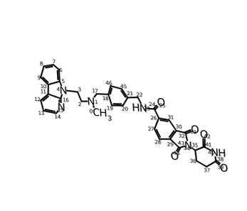 CN(CCn1c2ccccc2c2cccnc21)Cc1ccc(CNC(=O)c2ccc3c(c2)C(=O)N(C2CCC(=O)NC2=O)C3=O)cc1